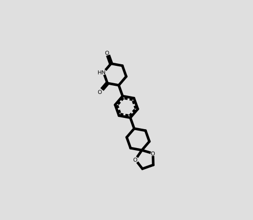 O=C1CCC(c2ccc(C3CCC4(CC3)OCCO4)cc2)C(=O)N1